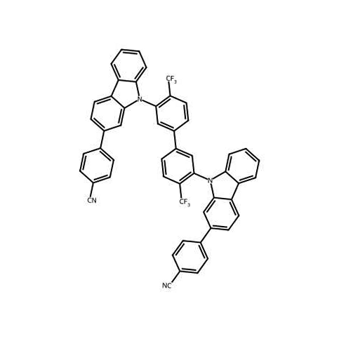 N#Cc1ccc(-c2ccc3c4ccccc4n(-c4cc(-c5ccc(C(F)(F)F)c(-n6c7ccccc7c7ccc(-c8ccc(C#N)cc8)cc76)c5)ccc4C(F)(F)F)c3c2)cc1